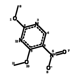 COc1ncc([N+](=O)[O-])c(OC)n1